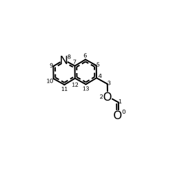 O=COCc1ccc2ncccc2c1